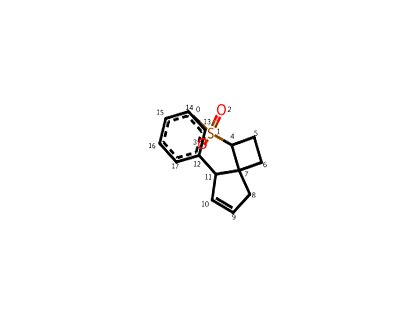 CS(=O)(=O)C1CCC12CC=CC2c1ccccc1